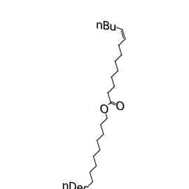 CCCC/C=C\CCCCCCCC(=O)OCCCCCCCCCCCCCCCCCCC